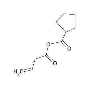 C=CCC(=O)OC(=O)C1CCCC1